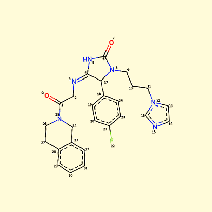 O=C(CN=C1NC(=O)N(CCCn2ccnc2)C1c1ccc(F)cc1)N1CCc2ccccc2C1